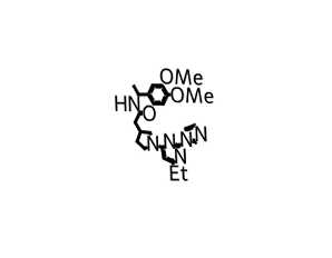 CCc1cc(N2CCC(CC(=O)NC(C)c3ccc(OC)c(OC)c3)C2)nc(-n2ccnc2)n1